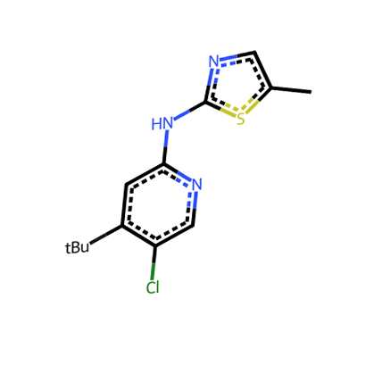 Cc1cnc(Nc2cc(C(C)(C)C)c(Cl)cn2)s1